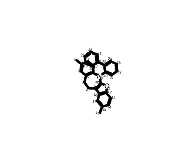 Cc1ccc2c(c1)CCc1c(oc3ccc(C)cc13)N2c1ccccc1-c1ccccc1